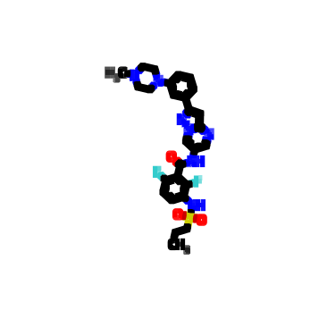 CCCS(=O)(=O)Nc1ccc(F)c(C(=O)Nc2cnc3cc(-c4cccc(N5CCN(C)CC5)c4)nn3c2)c1F